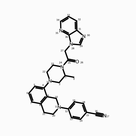 CC1CN(c2cccc3c2CN(c2ccc(C#N)cc2)CC3)CCN1C(=O)Cn1cnc2cccnc21